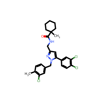 Cc1ccc(Cn2nc(CNC(=O)C3(C)CCCCC3)cc2-c2ccc(Cl)c(Cl)c2)cc1Cl